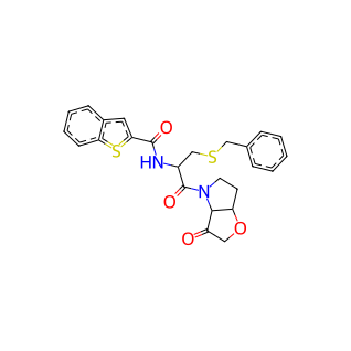 O=C(NC(CSCc1ccccc1)C(=O)N1CCC2OCC(=O)C21)c1cc2ccccc2s1